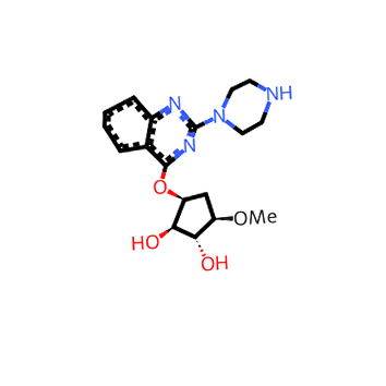 CO[C@@H]1C[C@H](Oc2nc(N3CCNCC3)nc3ccccc23)[C@H](O)[C@H]1O